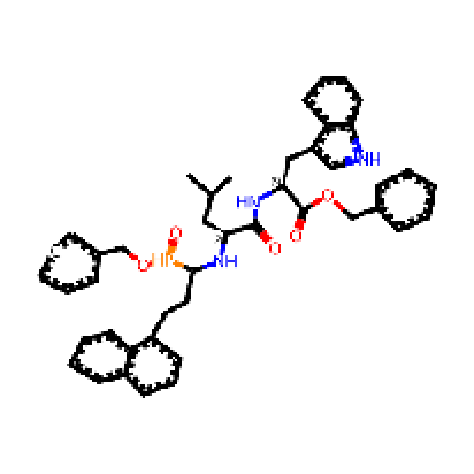 CC(C)C[C@H](NC(CCc1cccc2ccccc12)[PH](=O)OCc1ccccc1)C(=O)N[C@@H](Cc1c[nH]c2ccccc12)C(=O)OCc1ccccc1